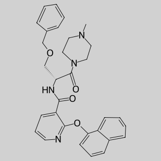 CN1CCN(C(=O)[C@@H](COCc2ccccc2)NC(=O)c2cccnc2Oc2cccc3ccccc23)CC1